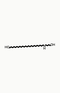 OCCCCCCCCCCCCCCCCCCCCCCCCNCCCCO